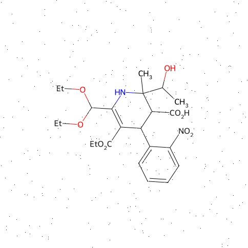 CCOC(=O)C1=C(C(OCC)OCC)NC(C)(C(C)O)C(C(=O)O)C1c1ccccc1[N+](=O)[O-]